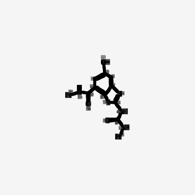 CCNC(=O)Nc1nc2cc(O)cc(C(=O)NCC)c2s1